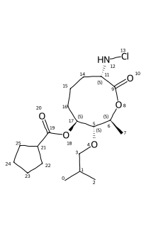 CC(C)CO[C@H]1[C@H](C)OC(=O)[C@@H](NCl)CCC[C@@H]1OC(=O)C1CCCC1